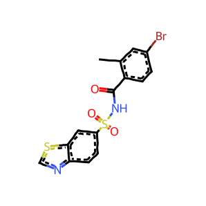 Cc1cc(Br)ccc1C(=O)NS(=O)(=O)c1ccc2ncsc2c1